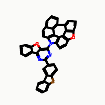 c1cc2c3c(c1)ccc1c3c3c4c(ccc3n1-c1nc(-c3ccc5sc6ccccc6c5c3)nc3c1oc1ccccc13)oc1cccc-2c14